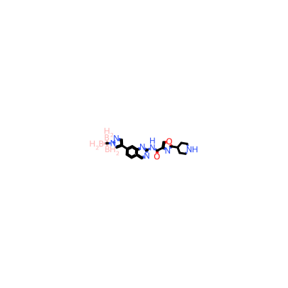 BC(B)(B)n1cc(-c2ccc3cnc(NC(=O)c4coc(C5CCNCC5)n4)nc3c2)cn1